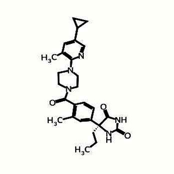 CCC[C@@]1(c2ccc(C(=O)N3CCN(c4ncc(C5CC5)cc4C)CC3)c(C)c2)NC(=O)NC1=O